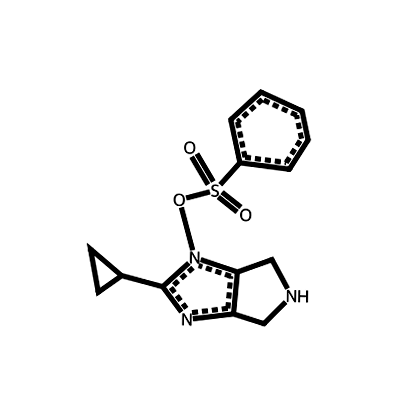 O=S(=O)(On1c(C2CC2)nc2c1CNC2)c1ccccc1